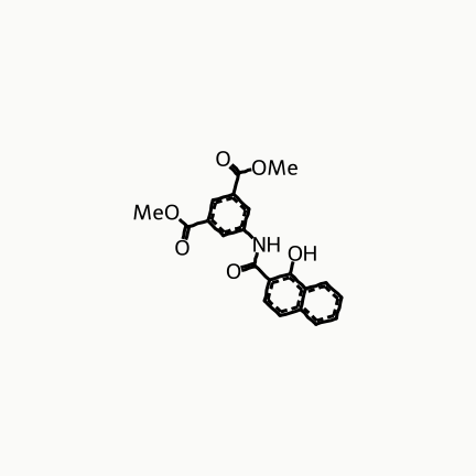 COC(=O)c1cc(NC(=O)c2ccc3ccccc3c2O)cc(C(=O)OC)c1